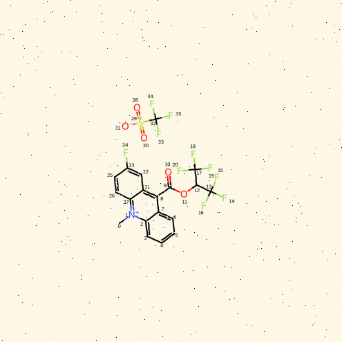 C[n+]1c2ccccc2c(C(=O)OC(C(F)(F)F)C(F)(F)F)c2cc(F)ccc21.O=S(=O)([O-])C(F)(F)F